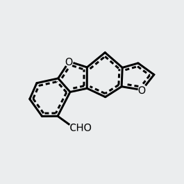 O=Cc1cccc2oc3cc4ccoc4cc3c12